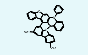 CSc1ccc2c(c1)c1cc(SC)cc3c1n2B1c2ccccc2N(c2ccccc2)c2cc4oc5ccccc5c4c-3c21